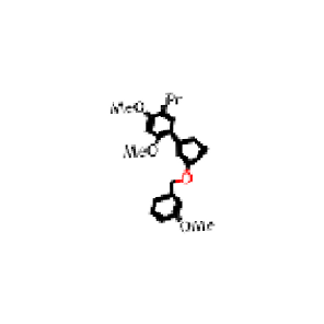 COc1cccc(COc2cccc(-c3cc(C(C)C)c(OC)cc3OC)c2)c1